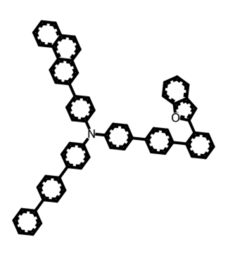 c1ccc(-c2ccc(-c3ccc(N(c4ccc(-c5ccc(-c6ccccc6-c6cc7ccccc7o6)cc5)cc4)c4ccc(-c5ccc6c(ccc7ccccc76)c5)cc4)cc3)cc2)cc1